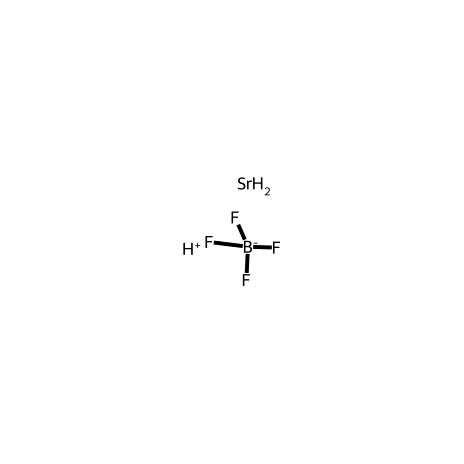 F[B-](F)(F)F.[H+].[SrH2]